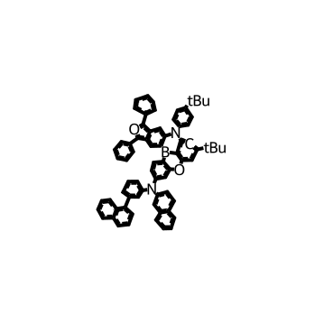 CC(C)(C)c1ccc(N2c3cc4c(-c5ccccc5)oc(-c5ccccc5)c4cc3B3c4ccc(N(c5cccc(-c6cccc7ccccc67)c5)c5ccc6ccccc6c5)cc4Oc4cc(C(C)(C)C)cc2c43)cc1